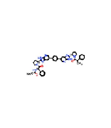 COC(=O)N[C@@H](C(=O)N1CCC[C@H]1c1nc2cc(-c3ccc(-c4cnc5[nH]c([C@@H]6CCCN6C(=O)[C@H](C)c6ccccc6)nc5c4)cc3)cnc2[nH]1)c1ccccc1